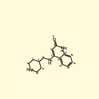 O=c1cc(NCC2CCNCC2)c2ccccc2[nH]1